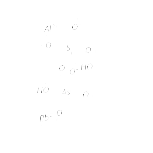 O=S(=O)([O-])[O-].O=[As]([O-])([O-])O.[Al+3].[OH-].[Pb+2]